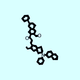 CCc1cc2cc(N(c3ccccc3)c3ccc4ccccc4c3)ccc2cc1C=CC(=O)c1cc2cc(-c3ccccc3)ccc2cc1C=O